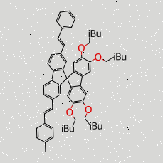 CCC(C)COc1cc2c(cc1OCC(C)CC)C1(c3cc(/C=C/c4ccccc4)ccc3-c3ccc(/C=C/c4ccc(C)cc4)cc31)c1cc(OCC(C)CC)c(OCC(C)CC)cc1-2